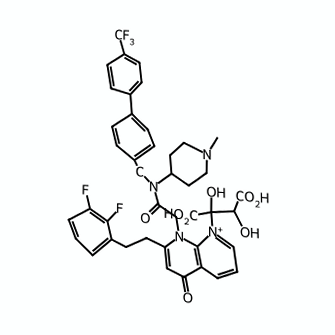 CN1CCC(N(Cc2ccc(-c3ccc(C(F)(F)F)cc3)cc2)C(=O)Cn2c(CCc3cccc(F)c3F)cc(=O)c3ccc[n+](C(O)(C(=O)O)C(O)C(=O)O)c32)CC1